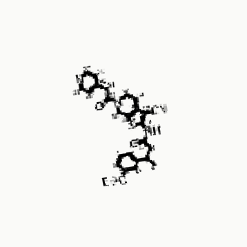 CCOc1cccc(C(C)CC(=O)Nc2sc3c(c2C#N)CCN(C(=O)Cc2ccncc2)C3)c1